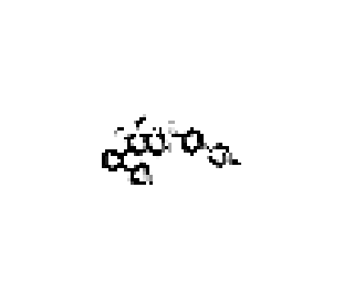 CCn1c(=O)c(-c2ccccc2-c2ccncc2)cc2cnc(Nc3ccc(N4CCN(C)CC4)cc3)nc21